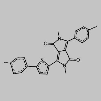 Cc1ccc(C2=C3C(=O)N(C)C(c4ccc(-c5ccc(C)cc5)s4)=C3C(=O)N2C)cc1